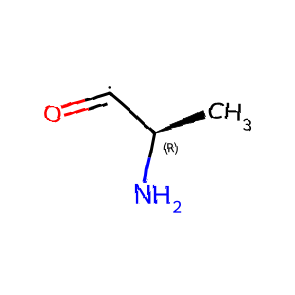 C[C@@H](N)[C]=O